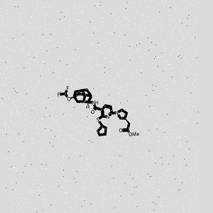 COC(=O)C[C@@H]1CCN(c2ccc(C(=O)N[C@H]3C4CC5CC3C[C@@](OC(F)F)(C5)C4)c(SC3CCCC3)n2)C1